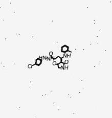 Cc1ccccc1NC(CCC(=O)NNc1ccc(Cl)cc1)=C1C(=O)CNC1=O